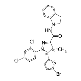 C[C@H]1C(C(=O)NN2CCc3ccccc32)=NN(c2ccc(Cl)cc2Cl)[C@H]1c1ccc(Br)s1